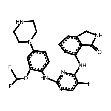 O=C1NCc2cccc(Nc3nc(Nc4ccc(N5CCNCC5)cc4OC(F)F)ncc3F)c21